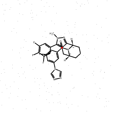 Cn1nc2c(c1-c1cc(F)c(F)c(F)c1)C[C@H]1CCC[C@@H]2N1C(=O)c1cc(F)cc(-n2cnnc2)c1